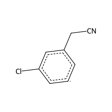 N#CCc1c[c]cc(Cl)c1